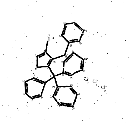 [Cl-].[Cl-].[Cl-].[Ti+3][C]1=CCC(C(c2ccccc2)(c2ccccc2)c2ccccc2)=C1Cc1ccccc1